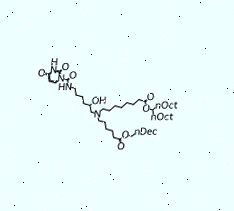 CCCCCCCCCCCOC(=O)CCCCCN(CCCCCCCC(=O)OC(CCCCCCCC)CCCCCCCC)CC(O)CCCCNC(=O)n1ccc(=O)[nH]c1=O